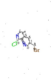 Clc1nccc2cc(CBr)cnc12